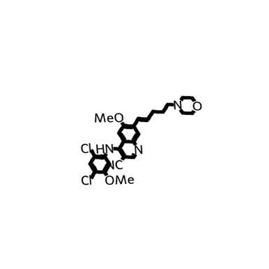 COc1cc(Nc2c(C#N)cnc3cc(C=CCCCN4CCOCC4)c(OC)cc23)c(Cl)cc1Cl